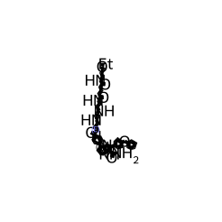 CCOCCCNC(=O)CCCC(=O)NCCNCCNC/C=C/C(=O)N1CCC([C@@H]2CCNc3c(C(N)=O)c(-c4ccc(Oc5ccccc5)cc4)nn32)CC1